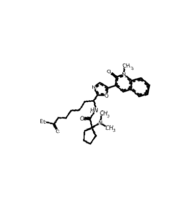 CCC(=O)CCCCCC(NC(=O)C1(N(C)C)CCCC1)c1ncc(-c2cc3ccccc3n(C)c2=O)o1